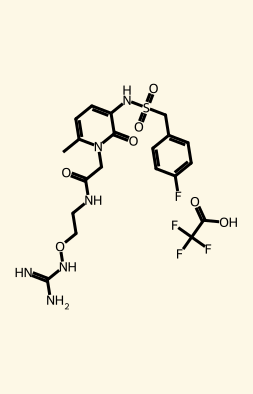 Cc1ccc(NS(=O)(=O)Cc2ccc(F)cc2)c(=O)n1CC(=O)NCCONC(=N)N.O=C(O)C(F)(F)F